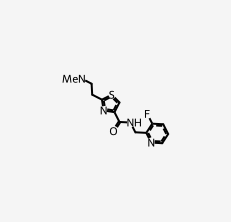 CNCCc1nc(C(=O)NCc2ncccc2F)cs1